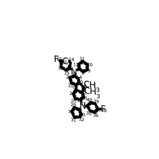 CC1(C)c2cc(N(c3ccccc3)c3ccc(F)cc3)ccc2-c2ccc(N(c3ccccc3)c3ccc(F)cc3)cc21